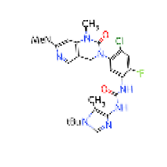 CNc1cc2c(cn1)CN(c1cc(NC(=O)Nc3ncn(C(C)(C)C)c3C)c(F)cc1Cl)C(=O)N2C